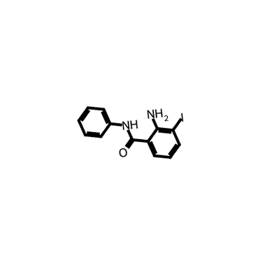 Nc1c(I)cccc1C(=O)Nc1ccccc1